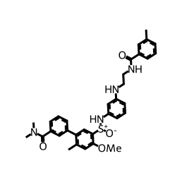 COc1cc(C)c(-c2cccc(C(=O)N(C)C)c2)cc1[S+]([O-])Nc1cccc(NCCNC(=O)c2cccc(C)c2)c1